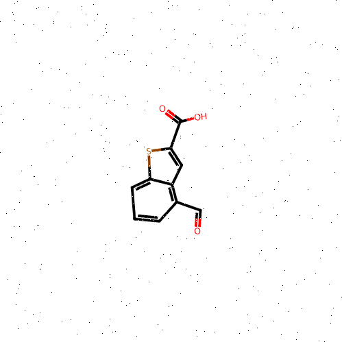 O=Cc1cccc2sc(C(=O)O)cc12